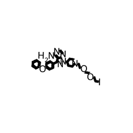 Nc1ncnc2c1c(-c1ccc(Oc3ccccc3)cc1)nn2C1CCN(CCOCCOCCI)CC1